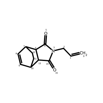 C=CCN1C(=O)C2C3C=CC(CC3)C2C1=O